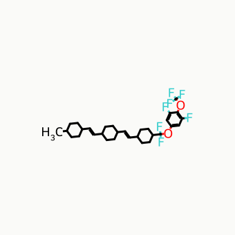 CC1CCC(/C=C/C2CCC(/C=C/C3CCC(C(F)(F)Oc4cc(F)c(OC(F)(F)F)c(F)c4)CC3)CC2)CC1